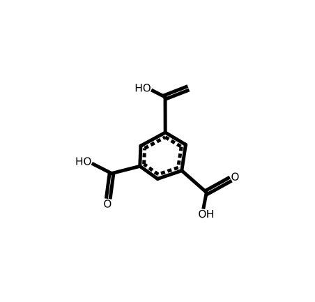 C=C(O)c1cc(C(=O)O)cc(C(=O)O)c1